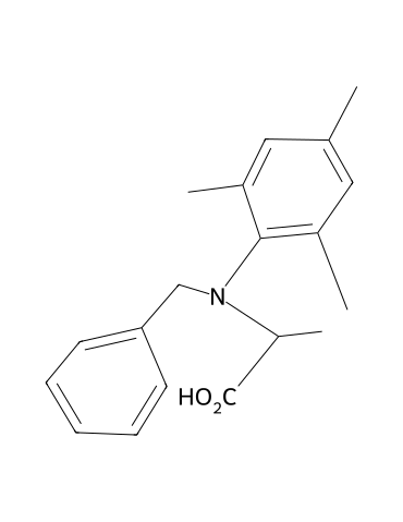 Cc1cc(C)c(N(Cc2ccccc2)C(C)C(=O)O)c(C)c1